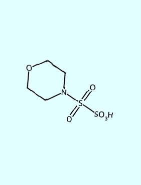 O=S(=O)(O)S(=O)(=O)N1CCOCC1